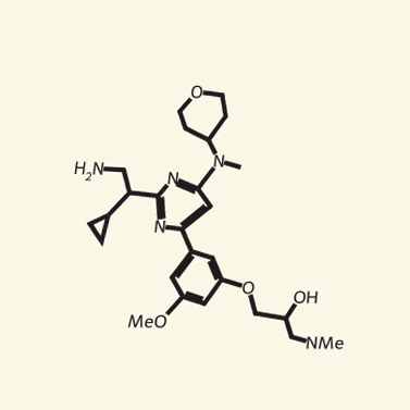 CNCC(O)COc1cc(OC)cc(-c2cc(N(C)C3CCOCC3)nc(C(CN)C3CC3)n2)c1